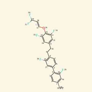 CCCc1ccc(-c2ccc(CCc3cc(F)c(O/C=C/C(F)F)c(F)c3)c(F)c2)c(F)c1